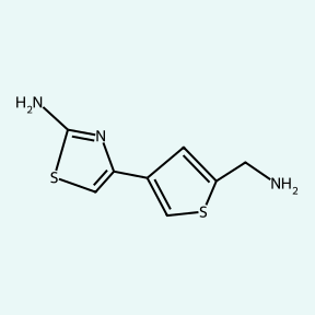 NCc1cc(-c2csc(N)n2)cs1